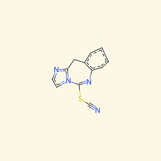 N#CSC1=Nc2ccccc2Cc2nccn21